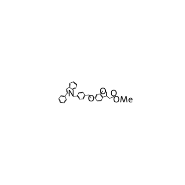 COC(=O)CC1COc2cc(OCc3ccc(Cn4c(-c5ccccc5)cc5ccccc54)cc3)ccc21